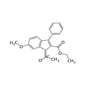 CCOC(=O)C1=C(c2ccccc2)c2ccc(OC)cc2/C1=[N+](/C)[O-]